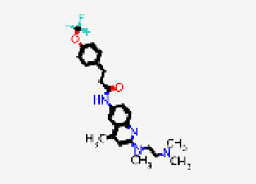 Cc1cc(N(C)CCN(C)C)nc2ccc(NC(=O)CCc3ccc(OC(F)(F)F)cc3)cc12